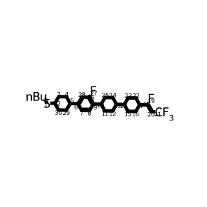 CCCCSC1CCC(c2ccc(C3CCC(C4CCC(/C(F)=C/C(F)(F)F)CC4)CC3)c(F)c2)CC1